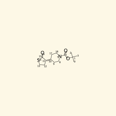 CC(C)(C)OC(=O)N1CCC(=C2CCSC2=O)CC1